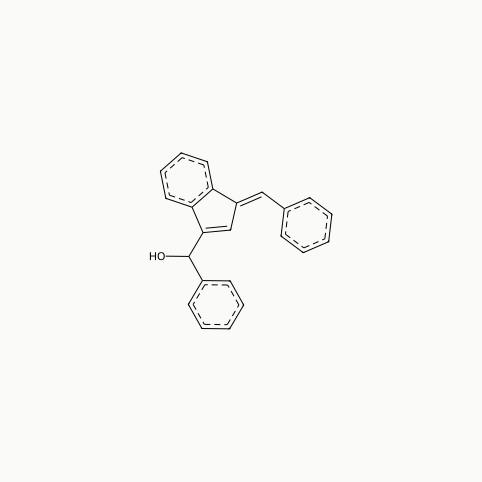 OC(C1=C/C(=C\c2ccccc2)c2ccccc21)c1ccccc1